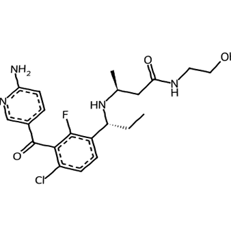 CC[C@@H](N[C@@H](C)CC(=O)NCCO)c1ccc(Cl)c(C(=O)c2ccc(N)nc2)c1F